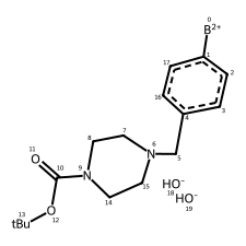 [B+2]c1ccc(CN2CCN(C(=O)OC(C)(C)C)CC2)cc1.[OH-].[OH-]